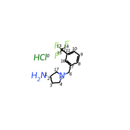 Cl.N[C@H]1CCN(Cc2cccc(C(F)(F)F)c2)C1